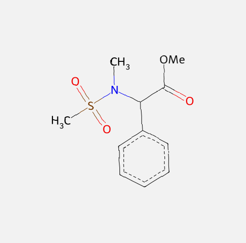 COC(=O)C(c1ccccc1)N(C)S(C)(=O)=O